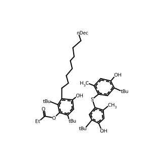 CCCCCCCCCCCCCCCCCCc1c(O)cc(C(C)(C)C)c(OC(=O)CC)c1C(C)(C)C.Cc1cc(O)c(C(C)(C)C)cc1Sc1cc(C(C)(C)C)c(O)cc1C